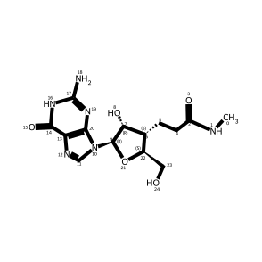 CNC(=O)CC[C@H]1[C@@H](O)[C@H](n2cnc3c(=O)[nH]c(N)nc32)O[C@@H]1CO